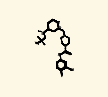 C[C@@H](CC(C)(C)O)N1CCO[C@@H](CN2CCN(C(=O)Nc3ccc(F)c(Cl)c3)CC2)C1